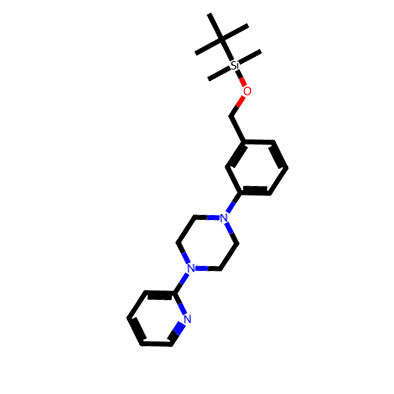 CC(C)(C)[Si](C)(C)OCc1cccc(N2CCN(c3ccccn3)CC2)c1